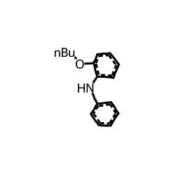 CCCCOc1ccccc1Nc1ccccc1